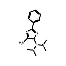 CN(C)P(N(C)C)n1nc(-c2ccccc2)nc1N